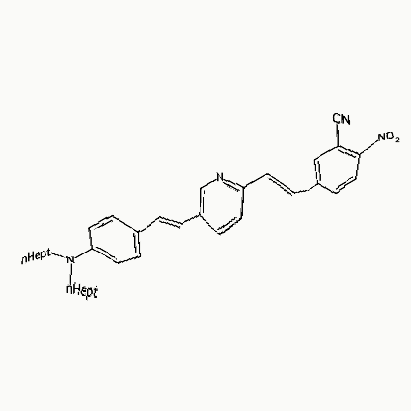 CCCCCCCN(CCCCCCC)c1ccc(C=Cc2ccc(C=Cc3ccc([N+](=O)[O-])c(C#N)c3)nc2)cc1